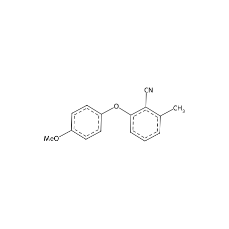 COc1ccc(Oc2cccc(C)c2C#N)cc1